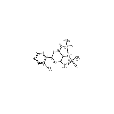 CCC1OC(c2ccncc2N)CC(O[Si](C)(C)C(C)(C)C)C1OS(=O)(=O)C(F)(F)F